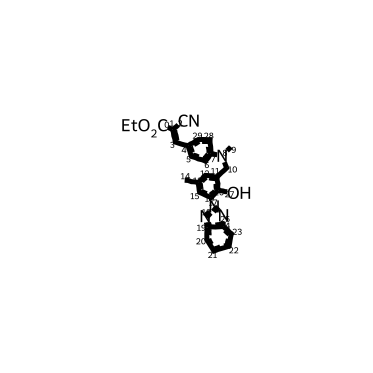 CCOC(=O)/C(C#N)=C/c1ccc(N(C)Cc2cc(C)cc(-n3nc4ccccc4n3)c2O)cc1